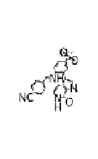 Cn1cc(-c2cc(S(C)(=O)=O)ccc2NCc2ccc(C#N)cc2)c2cc[nH]c(=O)c21